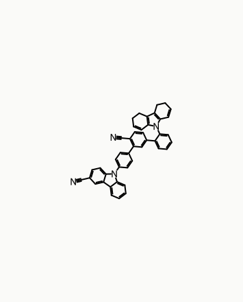 N#Cc1ccc2c(c1)c1ccccc1n2-c1ccc(-c2cc(-c3ccccc3-n3c4c(c5c3C=CCC5)CCC=C4)ccc2C#N)cc1